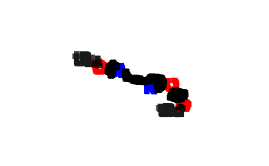 CC(C)(C)OC1CC(Oc2ccc(C#CCCN3CC(OC(C)(C)C)C3)nc2)C1